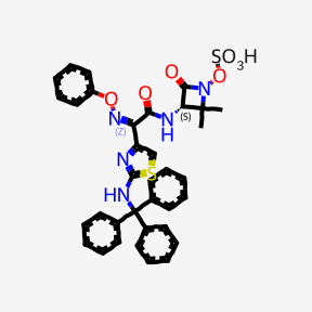 CC1(C)[C@H](NC(=O)/C(=N\Oc2ccccc2)c2csc(NC(c3ccccc3)(c3ccccc3)c3ccccc3)n2)C(=O)N1OS(=O)(=O)O